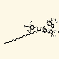 CCCCCCCCCCCCCCCCCCC[C@H](COP(=O)(O)OC[C@@]1(C)O[C@@H](c2ccc3c(N)ncnn23)[C@H](O)[C@@H]1O)Oc1cc(OC)c(C#N)c(OC)c1